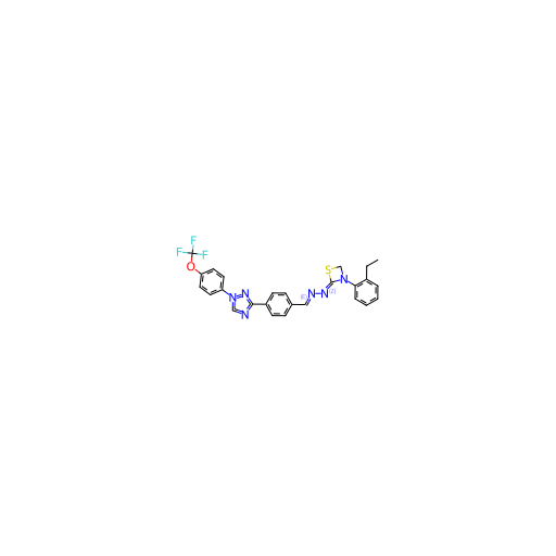 CCc1ccccc1N1CS/C1=N\N=C\c1ccc(-c2ncn(-c3ccc(OC(F)(F)F)cc3)n2)cc1